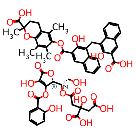 Cc1c(C)c2c(c(C)c1OC(=O)c1cc3ccccc3c(Cc3c(O)c(C(=O)O)cc4ccccc34)c1O)CCC(C)(C(=O)O)O2.O=C(O)CC(O)(CC(=O)O[C@@H](CO)[C@H]1OC(=O)C(O)=C1OC(=O)c1ccccc1O)C(=O)O